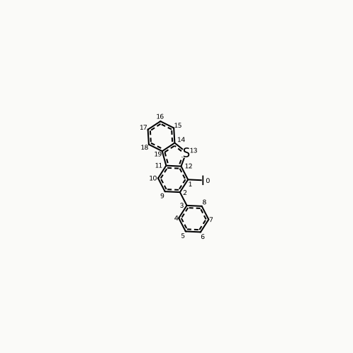 Ic1c(-c2ccccc2)ccc2c1sc1ccccc12